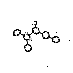 Clc1cc(-c2ccc(-c3ccccc3)cc2)cc(-c2nc(-c3ccccc3)cc(-c3ccccc3)n2)c1